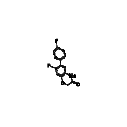 O=C1COc2cc(F)c(-c3ccc(F)cc3)cc2N1